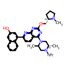 CCCN1CC(C)N(c2nc(OC[C@@H]3CCCN3C)nc3nc(-c4cc(O)cc5ccccc45)ccc23)C[C@@H]1C